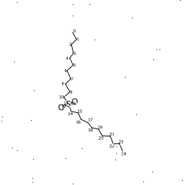 CCCCCCCCCCCS(=O)(=O)CCCCCCCCCCC